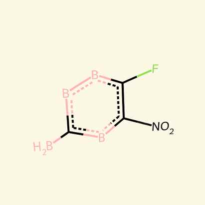 Bc1bbc(F)c([N+](=O)[O-])b1